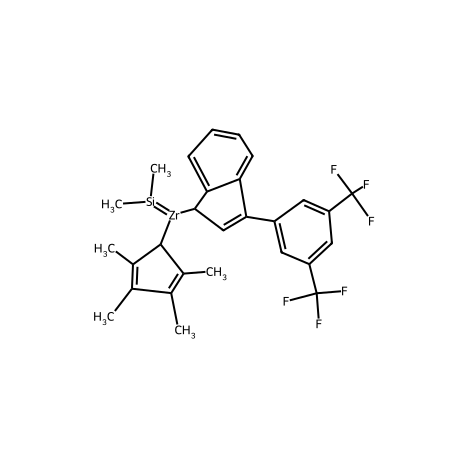 CC1=C(C)[CH]([Zr]([CH]2C=C(c3cc(C(F)(F)F)cc(C(F)(F)F)c3)c3ccccc32)=[Si](C)C)C(C)=C1C